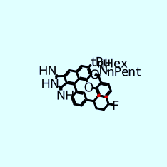 CCCCCCN(CCCCC)C(=O)c1ccccc1Oc1cc(C(C)(C)C)cc2cc3c(c(-c4cccc(C5CCC(F)CC5)c4)c12)C(=N)NC3=N